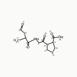 CC(SN=O)C(=O)NCC(=O)N1CSCC1C(=O)O